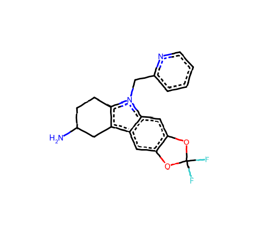 NC1CCc2c(c3cc4c(cc3n2Cc2ccccn2)OC(F)(F)O4)C1